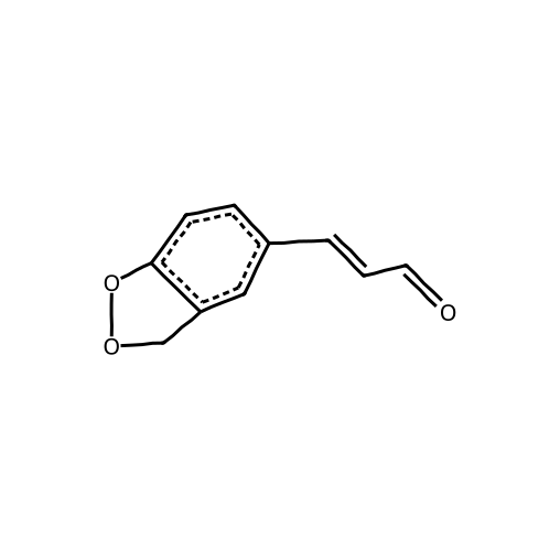 O=CC=Cc1ccc2c(c1)COO2